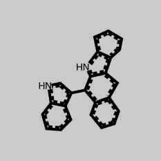 c1ccc2c(-c3c[nH]c4ccccc34)c3[nH]c4ccccc4c3cc2c1